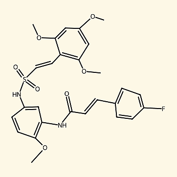 COc1cc(OC)c(C=CS(=O)(=O)Nc2ccc(OC)c(NC(=O)C=Cc3ccc(F)cc3)c2)c(OC)c1